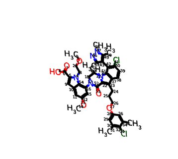 COCCn1c(C(=O)O)cc2cc(OC)cc(N3C[C@@H](C)n4c(c(CCCOc5cc(C)c(Cl)c(C)c5)c5ccc(Cl)c(-c6c(C)nn(C)c6C)c54)C3=O)c21